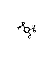 N#CC1(c2ccc(C=O)c([N+](=O)[O-])c2)CC1